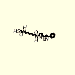 O=C(CS)NCCCCCC(=O)NC1=NC(c2cc(-c3ccccc3)no2)=CC1